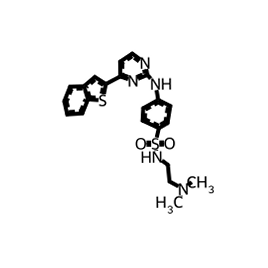 CN(C)CCNS(=O)(=O)c1ccc(Nc2nccc(-c3cc4ccccc4s3)n2)cc1